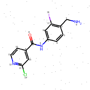 NCc1ccc(NC(=O)c2ccnc(Cl)c2)cc1I